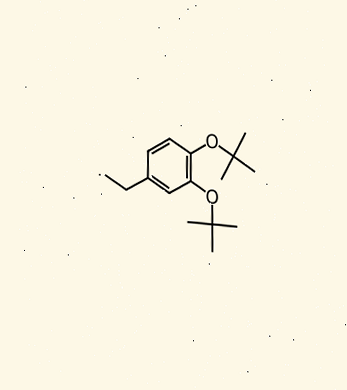 [CH2]Cc1ccc(OC(C)(C)C)c(OC(C)(C)C)c1